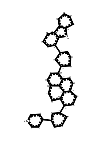 c1cc(-c2ccncc2)cc(-c2ccc3ccc4c(-c5cccc(-c6cccc7c6oc6ccccc67)c5)ccc5ccc2c3c54)c1